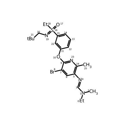 CCN(C)C=Nc1cc(Br)c(Oc2cccc(S(=O)(CC)=NCC(C)(C)C)c2)nc1C